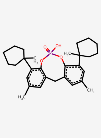 Cc1cc2c(c(C3(C)CCCCC3)c1)OP(=O)(O)Oc1c(cc(C)cc1C1(C)CCCCC1)C2